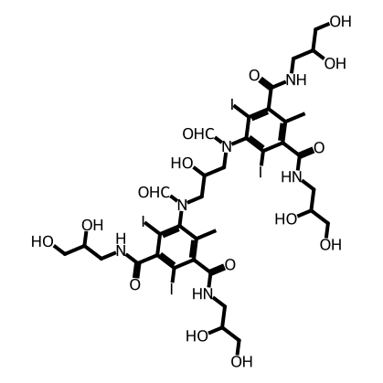 Cc1c(C(=O)NCC(O)CO)c(I)c(N(C=O)CC(O)CN(C=O)c2c(C)c(C(=O)NCC(O)CO)c(I)c(C(=O)NCC(O)CO)c2I)c(I)c1C(=O)NCC(O)CO